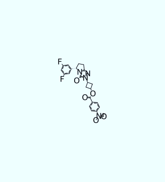 O=C(OC1CC(n2nc3n(c2=O)[C@H](c2cc(F)cc(F)c2)CC3)C1)c1ccc([N+](=O)[O-])cc1